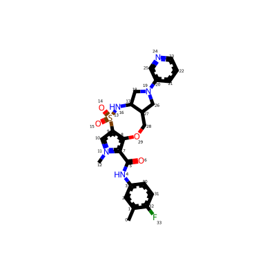 Cc1cc(NC(=O)c2c3c(cn2C)S(=O)(=O)NC2CN(c4cccnc4)CC2CO3)ccc1F